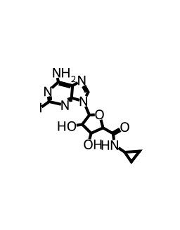 Nc1nc(I)nc2c1ncn2C1OC(C(=O)NC2CC2)C(O)C1O